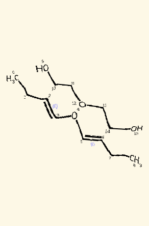 CC/C=C/O/C=C/CC.OCCOCCO